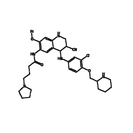 CCOc1cc2c(cc1NC(=O)CCCN1CCCC1)C(Nc1ccc(OCC3CCCCN3)c(Cl)c1)C(C#N)CN2